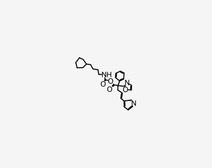 O=C(NCCCCC1CCCCC1)OC(=O)C(CC=Cc1cccnc1)(c1ccccc1)c1ncco1